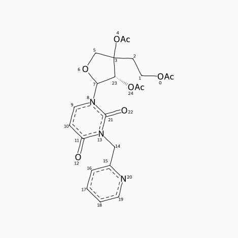 CC(=O)OCCC1(OC(C)=O)COC(n2ccc(=O)n(Cc3ccccn3)c2=O)[C@H]1OC(C)=O